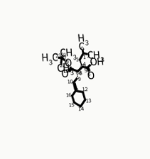 CC(C)C[C@@H](C(=O)O)[C@H](CC=C1CCCCC1)C(=O)OC(C)(C)C